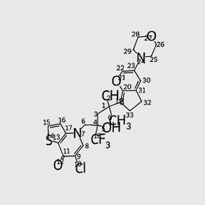 CC(C)(CC(O)(Cn1cc(Cl)c(=O)c2sccc21)C(F)(F)F)C1=C2OC=C(N3CCOCC3)C=C2CC1